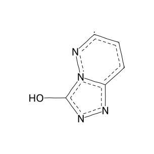 Oc1nnc2cc[c]nn12